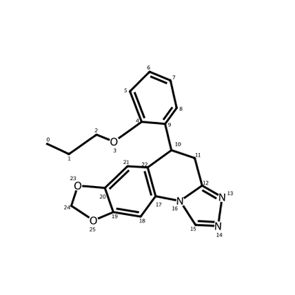 CCCOc1ccccc1C1Cc2nncn2-c2cc3c(cc21)OCO3